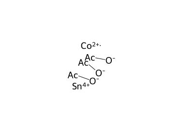 CC(=O)[O-].CC(=O)[O-].CC(=O)[O-].[Co+2].[Sn+4]